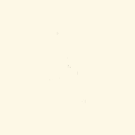 O=C(c1cc(CCO)on1)c1ccc(Cl)cc1Cl